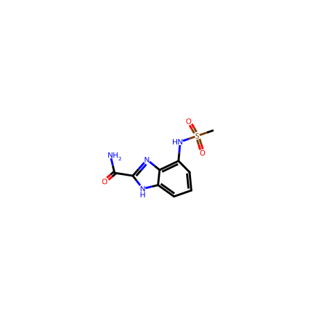 CS(=O)(=O)Nc1cccc2[nH]c(C(N)=O)nc12